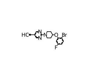 C#Cc1cnc(N2CCC(Oc3cc(F)ccc3Br)CC2)nc1